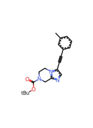 Cc1cccc(C#Cc2cnc3n2CCN(C(=O)OC(C)(C)C)C3)c1